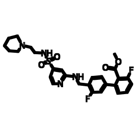 COC(=O)c1c(F)cccc1-c1ccc(CNc2cc(S(=O)(=O)NCCN3CCCCC3)ccn2)c(F)c1